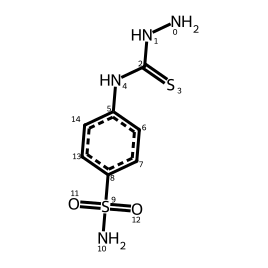 NNC(=S)Nc1ccc(S(N)(=O)=O)cc1